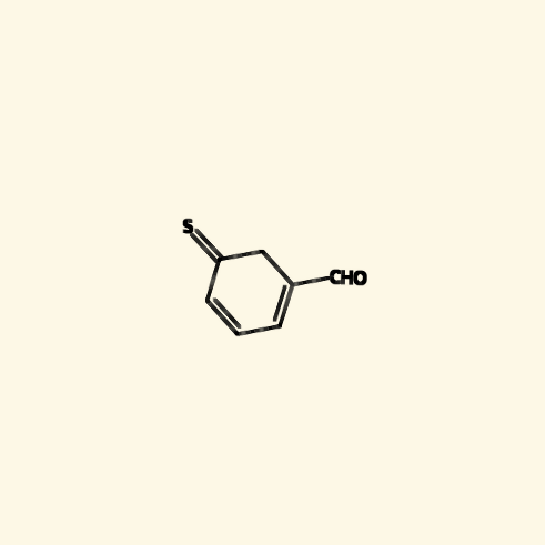 O=CC1=CC=CC(=S)C1